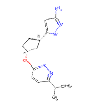 CC(C)c1ccc(O[C@@H]2CC[C@H](c3cc(N)n[nH]3)C2)nn1